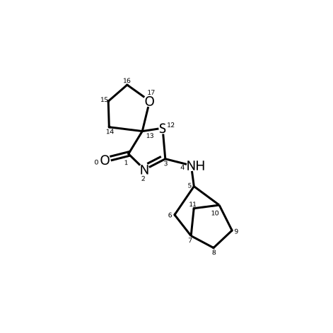 O=C1N=C(NC2CC3CCC2C3)SC12CCCO2